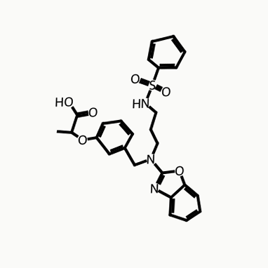 CC(Oc1cccc(CN(CCCNS(=O)(=O)c2ccccc2)c2nc3ccccc3o2)c1)C(=O)O